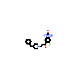 O=C(CCN1CCC(Cc2ccccc2)CC1)c1cc2[nH]c(=O)[nH]c2cc1F